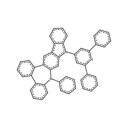 c1ccc(-c2cc(-n3c4ccccc4c4cc5c(cc43)N(c3ccccc3)c3ccccc3-c3ccccc3-5)cc(-c3ccccc3)n2)cc1